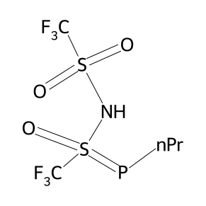 CCCP=S(=O)(NS(=O)(=O)C(F)(F)F)C(F)(F)F